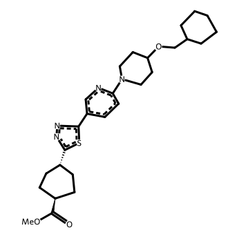 COC(=O)[C@H]1CC[C@H](c2nnc(-c3ccc(N4CCC(OCC5CCCCC5)CC4)nc3)s2)CC1